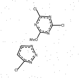 COc1nc(Cl)nc(Cl)n1.Clc1ccnnn1